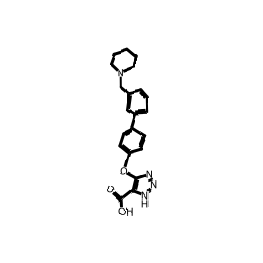 O=C(O)c1[nH]nnc1Oc1ccc(-c2cccc(CN3CCCCC3)c2)cc1